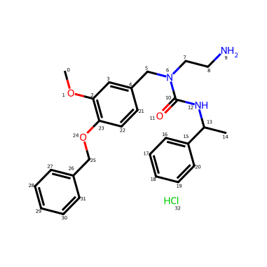 COc1cc(CN(CCN)C(=O)NC(C)c2ccccc2)ccc1OCc1ccccc1.Cl